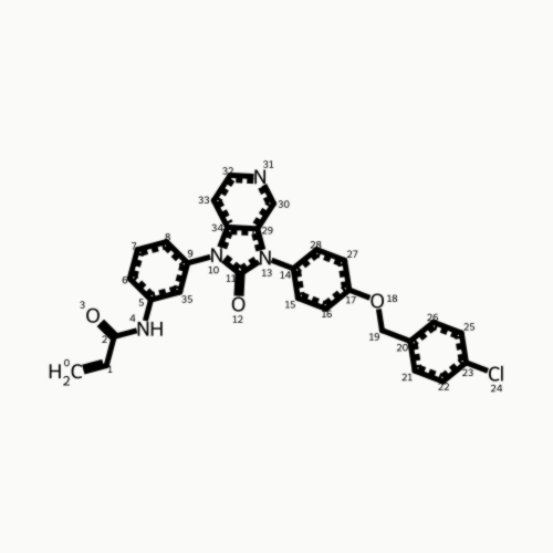 C=CC(=O)Nc1cccc(-n2c(=O)n(-c3ccc(OCc4ccc(Cl)cc4)cc3)c3cnccc32)c1